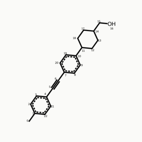 Cc1ccc(C#Cc2ccc(C3CCC(CO)CC3)cc2)cc1